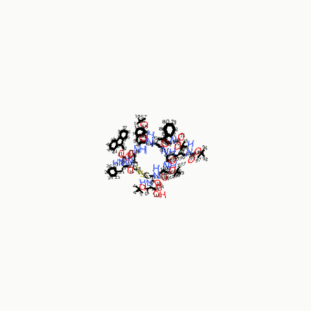 C[C@@H](OC(C)(C)C)[C@H](NC(=O)[C@@H]1CSSC[C@H](NC(=O)[C@@H](Cc2ccccc2)NC(=O)OCC2c3ccccc3-c3ccccc32)C(=O)N[C@@H](Cc2ccc(OC(C)(C)C)cc2)C(=O)N[C@H](Cc2cn(C(=O)OC(C)(C)C)c3ccccc23)C(=O)N[C@@H](CCCCNC(=O)OC(C)(C)C)C(=O)N[C@@H]([C@@H](C)OC(C)(C)C)C(=O)N1)C(=O)O